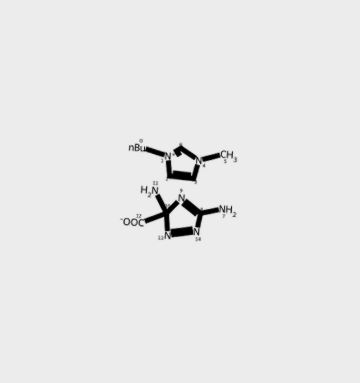 CCCC[n+]1ccn(C)c1.NC1=NC(N)(C(=O)[O-])N=N1